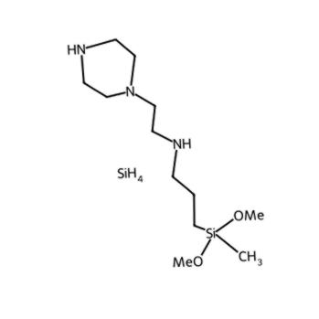 CO[Si](C)(CCCNCCN1CCNCC1)OC.[SiH4]